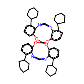 C1=Nc2c(cccc2C2CCCCC2)OC2(Oc3cccc(C4CCCCC4)c3N=1)Oc1cccc(C3CCCCC3)c1N=C=Nc1c(cccc1C1CCCCC1)O2